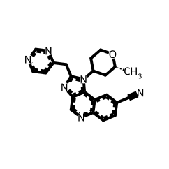 C[C@@H]1CC(n2c(Cc3ccncn3)nc3cnc4ccc(C#N)cc4c32)CCO1